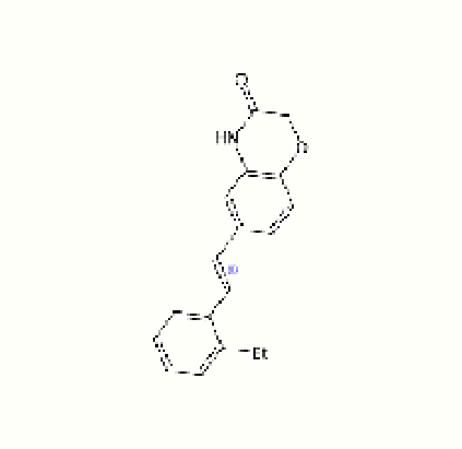 CCc1ccccc1/C=C/c1ccc2c(c1)NC(=O)CO2